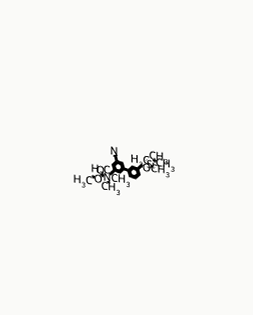 CCOC(=O)N(CC)C(C)(C)c1cc(C#N)cc(-c2cccc(CO[Si](C)(C)C(C)C)c2)c1